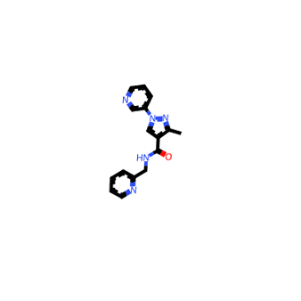 Cc1nn(-c2cccnc2)cc1C(=O)NCc1ccccn1